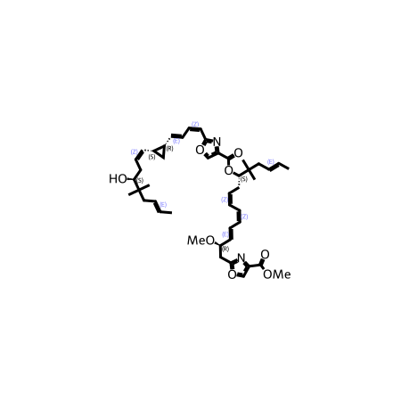 C/C=C/CC(C)(C)[C@H](C\C=C/C=C\C=C\[C@@H](Cc1nc(C(=O)OC)co1)OC)OC(=O)c1coc(/C=C\C=C\[C@@H]2C[C@@H]2/C=C\C[C@H](O)C(C)(C)C/C=C/C)n1